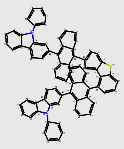 c1ccc(-n2c3ccccc3c3ccc(-c4c5ccccc5c(-c5ccc6sc7cccc(-c8c9ccccc9c(-c9ccc%10c%11ccccc%11n(-c%11ccccc%11)c%10c9)c9ccccc89)c7c6c5)c5ccccc45)cc32)cc1